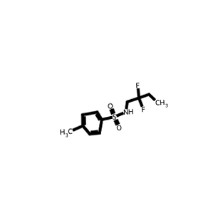 CCC(F)(F)CNS(=O)(=O)c1ccc(C)cc1